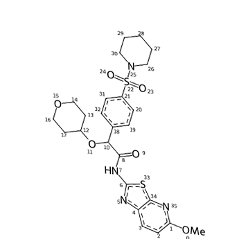 COc1ccc2nc(NC(=O)C(OC3CCOCC3)c3ccc(S(=O)(=O)N4CCCCC4)cc3)sc2n1